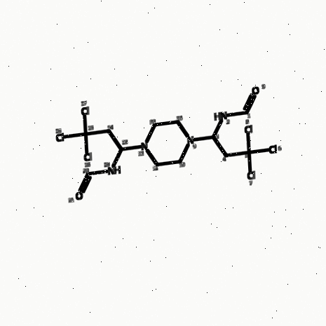 O=CNC(CC(Cl)(Cl)Cl)N1CCN(C(CC(Cl)(Cl)Cl)NC=O)CC1